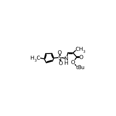 CC(=CNS(=O)(=O)c1ccc(C)cc1)C(=O)OC(C)(C)C